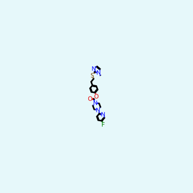 Cn1ccnc1SCCc1ccc(OC(=O)N2CCN(c3ccc(F)cn3)CC2)cc1